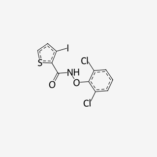 O=C(NOc1c(Cl)cccc1Cl)c1sccc1I